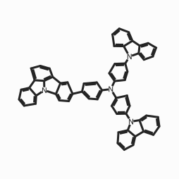 c1ccc2c(c1)c1ccccc1n2-c1ccc(N(c2ccc(-c3ccc4c(c3)c3cccc5c6ccccc6n4c53)cc2)c2ccc(-n3c4ccccc4c4ccccc43)cc2)cc1